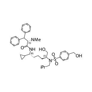 CN[C@H](C(=O)N[C@H](CCC[C@@H](CO)N(CC(C)C)S(=O)(=O)c1ccc(CO)cc1)C1CC1)C(c1ccccc1)c1ccccc1